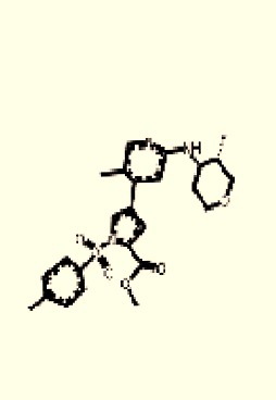 COC(=O)c1cc(-c2cc(N[C@@H]3CCOC[C@H]3F)ncc2C)cn1S(=O)(=O)c1ccc(C)cc1